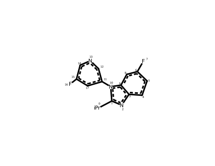 CC(C)c1nc2ccc(F)cc2n1-c1cncc(F)c1